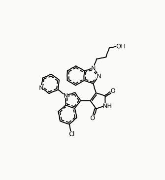 O=C1NC(=O)C(c2nn(CCCO)c3ccccc23)=C1c1cn(-c2cccnc2)c2ccc(Cl)cc12